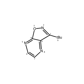 CC(C)(C)c1noc2nccnc12